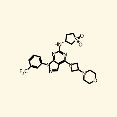 O=S1(=O)CC[C@@H](Nc2nc(N3CC(N4CCOCC4)C3)c3cnn(-c4cccc(C(F)(F)F)c4)c3n2)C1